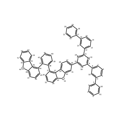 c1ccc(-c2cccc(-c3nc(-c4cccc(-c5ccccc5)c4)nc(-c4ccc5c(c4)oc4cccc(-c6ccccc6-c6cccc7oc8ccccc8c67)c45)n3)c2)cc1